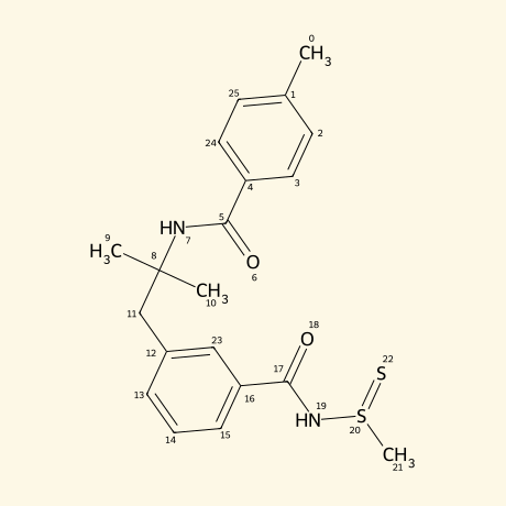 Cc1ccc(C(=O)NC(C)(C)Cc2cccc(C(=O)NS(C)=S)c2)cc1